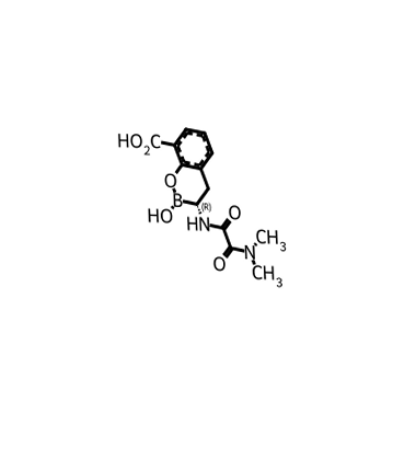 CN(C)C(=O)C(=O)N[C@H]1Cc2cccc(C(=O)O)c2OB1O